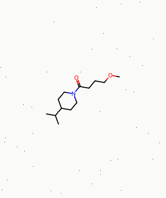 COCCCC(=O)N1CCC(C(C)C)CC1